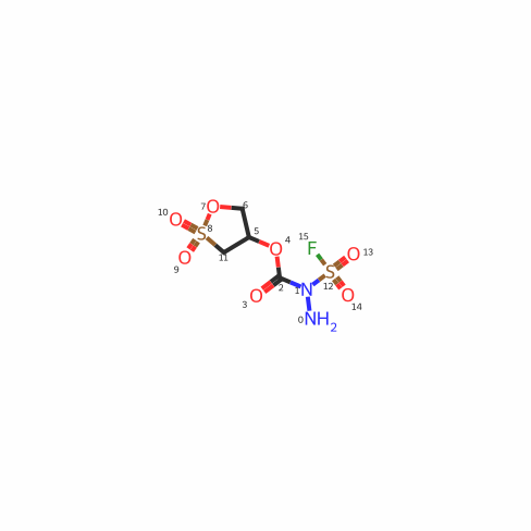 NN(C(=O)OC1COS(=O)(=O)C1)S(=O)(=O)F